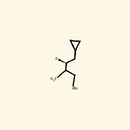 CCC(C)CC(C)[C@@H](F)CC1CC1